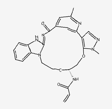 C=CC(=O)N[C@@H]1CCCN2/C(=N/C(=O)c3cc(C)nc(c3)-c3cnn(C)c3OC1)Nc1ccccc12